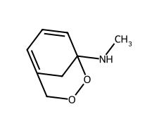 CNC12C=CC=C(COO1)C2